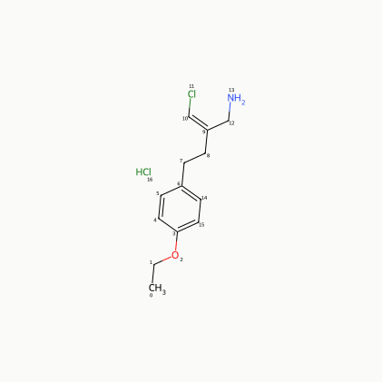 CCOc1ccc(CCC(=CCl)CN)cc1.Cl